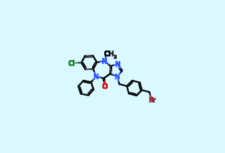 CN1c2ccc(Cl)cc2N(c2ccccc2)C(=O)c2c1ncn2Cc1ccc(CBr)cc1